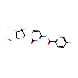 O=C(Nc1ccn([C@@H]2O[C@H](CO)[C@@H](O)C2(F)F)c(=O)n1)c1ccc(F)cn1